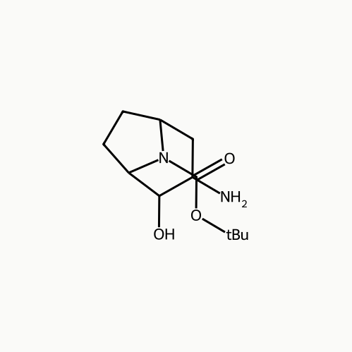 CC(C)(C)OC(=O)N1C2CCC1C(O)C(N)C2